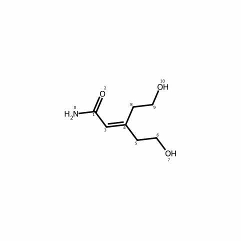 NC(=O)C=C(CCO)CCO